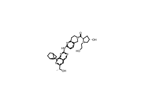 C[C@@H](O)c1cc2cnc(Nc3ccc4c(n3)CCN(C(=O)[C@H]3C[C@H](O)CN3CCO)C4)nc2c(N2C3CCC2CC3)n1